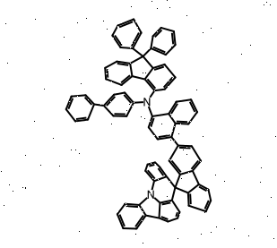 c1ccc(-c2ccc(N(c3cccc4c3-c3ccccc3C4(c3ccccc3)c3ccccc3)c3ccc(-c4ccc5c(c4)C4(c6ccccc6-5)c5ccccc5-n5c6ccccc6c6cccc4c65)c4ccccc34)cc2)cc1